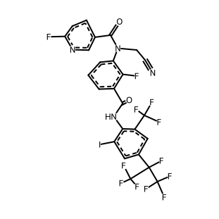 N#CCN(C(=O)c1ccc(F)nc1)c1cccc(C(=O)Nc2c(I)cc(C(F)(C(F)(F)F)C(F)(F)F)cc2C(F)(F)F)c1F